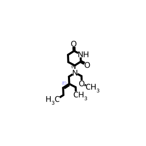 CC/C=C(\CC)CN(COC)[C@@H]1CCC(=O)NC1=O